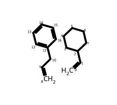 C=CC1CCCCC1.C=CCc1ccccc1